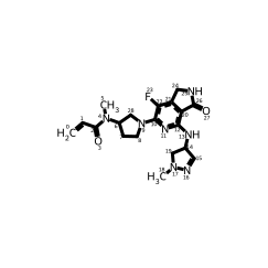 C=CC(=O)N(C)C1CCN(c2nc(NC3C=NN(C)C3)c3c(c2F)CNC3=O)C1